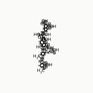 COc1ccc2nc(N=Nc3cc(OCCCS(=O)(=O)O)c(N=Nc4c(S(=O)(=O)O)cc5c(S(=O)(=O)O)c(N=Nc6c(C(=O)O)nn(-c7ccc8c(S(=O)(=O)O)cc(S(=O)(=O)O)cc8c7)c6O)ccc5c4O)cc3C)sc2c1S(=O)(=O)O